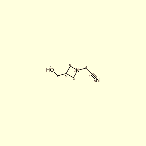 N#CCN1CC(CO)C1